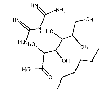 CCCCCC.N=C(N)NC(=N)N.O=C(O)C(O)C(O)C(O)C(O)CO